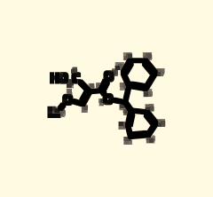 CCOC=C(C(=O)O)C(=O)OC(c1ccccc1)c1ccccc1